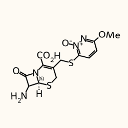 COc1ccc(SCC2=C(C(=O)O)N3C(=O)C(N)[C@@H]3SC2)[n+]([O-])n1